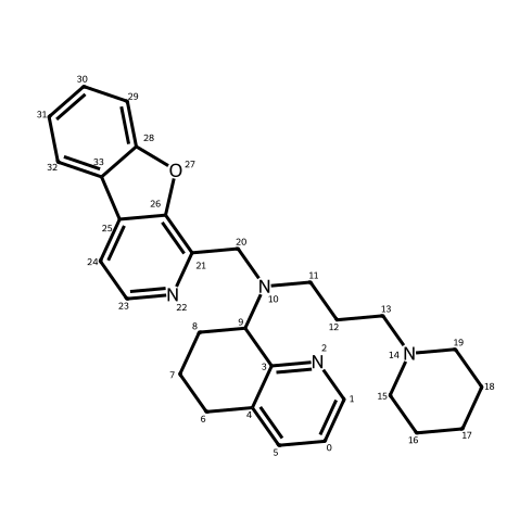 c1cnc2c(c1)CCCC2N(CCCN1CCCCC1)Cc1nccc2c1oc1ccccc12